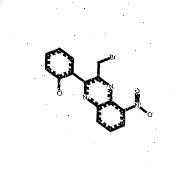 O=[N+]([O-])c1cccc2nc(-c3ccccc3Cl)c(CBr)nc12